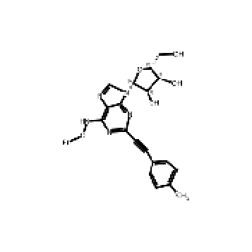 CCONc1nc(C#Cc2ccc(C)cc2)nc2c1ncn2[C@@H]1O[C@H](CO)[C@@H](O)[C@H]1O